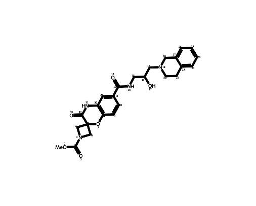 COC(=O)N1CC2(C1)Oc1ccc(C(=O)NCC(O)CN3CCc4ccccc4C3)cc1NC2=O